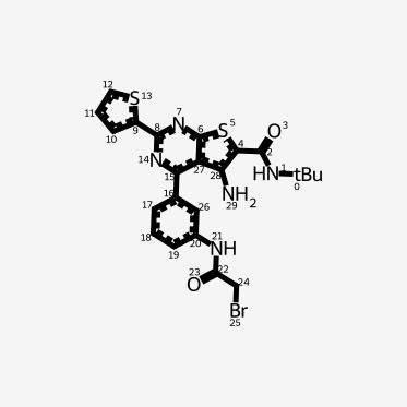 CC(C)(C)NC(=O)c1sc2nc(-c3cccs3)nc(-c3cccc(NC(=O)CBr)c3)c2c1N